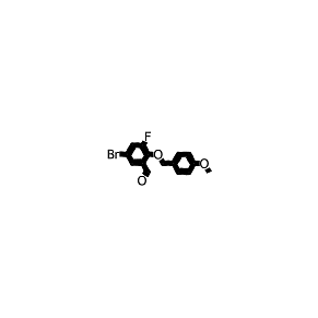 COc1ccc(COc2c(F)cc(Br)cc2C=O)cc1